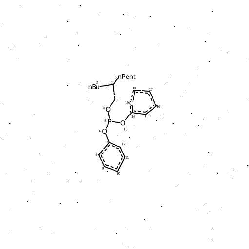 CCCCCC(CCCC)COP(Oc1ccccc1)Oc1ccccc1